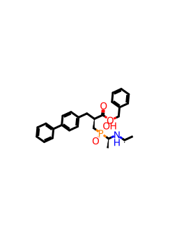 C[CH]N[C@@H](C)P(=O)(O)C[C@@H](Cc1ccc(-c2ccccc2)cc1)C(=O)OCc1ccccc1